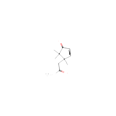 COC(=O)CC1(C)C=CC(=O)C1(C)C